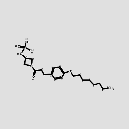 CCCCCCCCOc1ccc(CCC(=O)N2CC(OP(=O)(O)O)C2)cc1